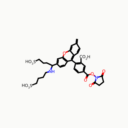 C=c1ccc2c(c1)Oc1cc(C(CCCS(=O)(=O)O)NCCCCS(=O)(=O)O)ccc1C=2c1ccc(C(=O)ON2C(=O)CCC2=O)cc1C(=O)O